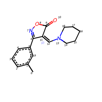 Cc1cccc(C2=NOC(=O)/C2=C\N2CCCCC2)c1